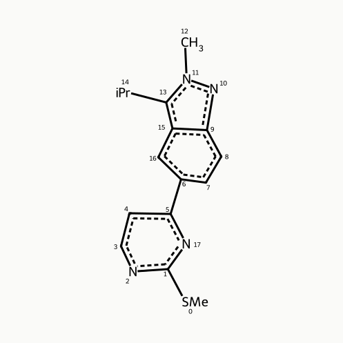 CSc1nccc(-c2ccc3nn(C)c(C(C)C)c3c2)n1